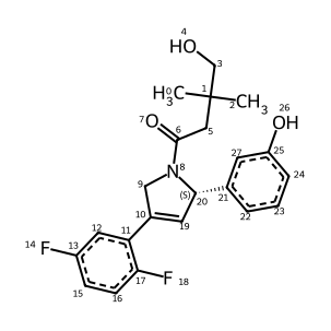 CC(C)(CO)CC(=O)N1CC(c2cc(F)ccc2F)=C[C@H]1c1cccc(O)c1